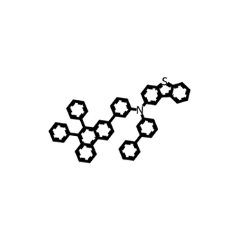 c1ccc(-c2cccc(N(c3cccc(-c4ccc5c(c4)c(-c4ccccc4)c(-c4ccccc4)c4ccccc45)c3)c3ccc4sc5ccccc5c4c3)c2)cc1